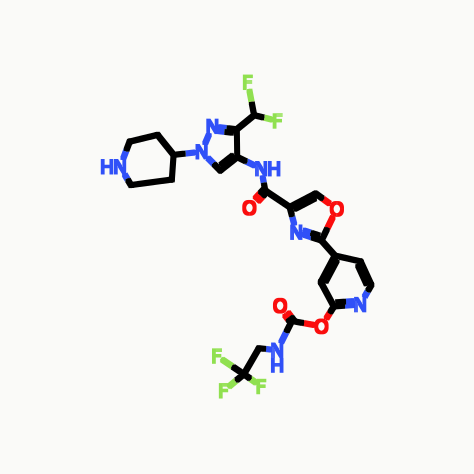 O=C(NCC(F)(F)F)Oc1cc(-c2nc(C(=O)Nc3cn(C4CCNCC4)nc3C(F)F)co2)ccn1